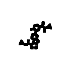 Cc1ccc(C(=O)NC2CC2)cc1-c1ccc2c(cnn2C(C=O)NCC2CC2)c1